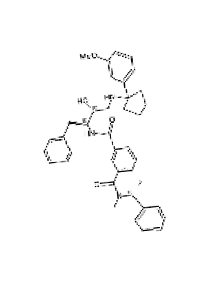 COc1cccc(C2(NC[C@@H](O)[C@H](Cc3ccccc3)NC(=O)c3cccc(C(=O)N(C)[C@H](C)c4ccccc4)c3)CCCC2)c1